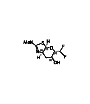 CNC1=N[C@@H]2C[C@H](O)[C@@H](C(F)F)O[C@@H]2S1